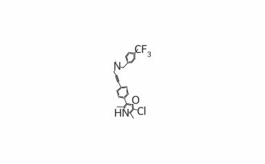 Cc1[nH]c(C)c(-c2ccc(C#CCN(C)Cc3ccc(C(F)(F)F)cc3)cc2)c(=O)c1Cl